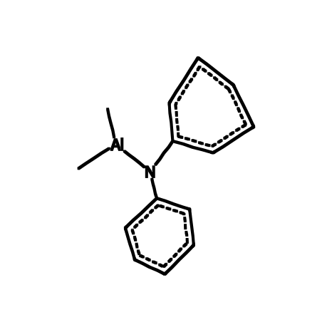 [CH3][Al]([CH3])[N](c1ccccc1)c1ccccc1